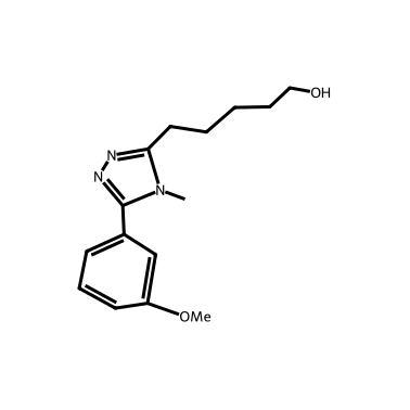 COc1cccc(-c2nnc(CCCCCO)n2C)c1